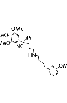 COc1cccc(CCCCNCCCC(C#N)(c2cc(OC)c(OC)c(OC)c2)C(C)C)c1